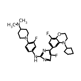 CN(C)C1CCN(c2ccc(Nc3ncc(F)c(-c4cc(F)c5c(c4)N(C4CCCC4)CCO5)n3)cc2F)CC1